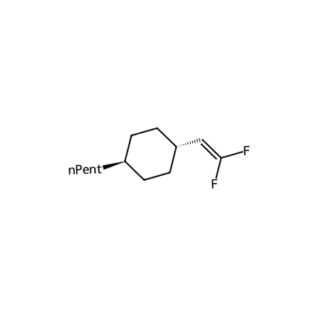 CCCCC[C@H]1CC[C@H](C=C(F)F)CC1